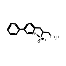 O=C(O)CC(Cc1ccc(-c2ccccc2)cc1)S(=O)(=O)S